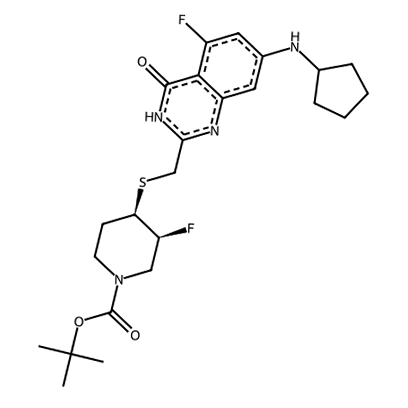 CC(C)(C)OC(=O)N1CC[C@@H](SCc2nc3cc(NC4CCCC4)cc(F)c3c(=O)[nH]2)[C@@H](F)C1